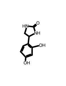 O=C1NCC(c2ccc(O)cc2O)N1